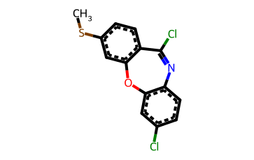 CSc1ccc2c(c1)Oc1cc(Cl)ccc1N=C2Cl